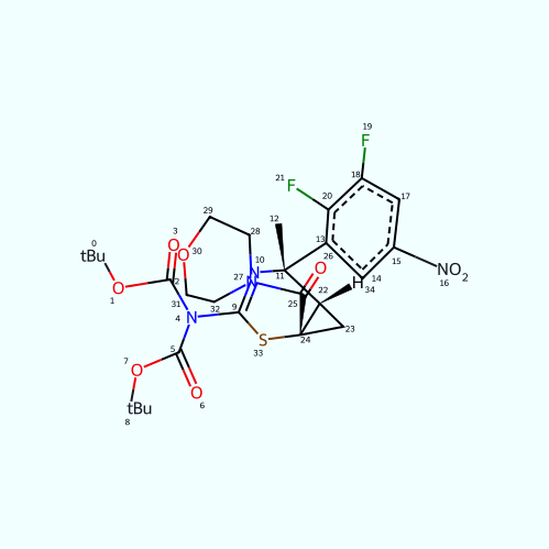 CC(C)(C)OC(=O)N(C(=O)OC(C)(C)C)C1=N[C@](C)(c2cc([N+](=O)[O-])cc(F)c2F)[C@@H]2C[C@]2(C(=O)N2CCOCC2)S1